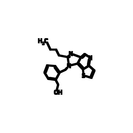 CCCCc1nc2cnc3ccsc3c2n1Cc1ccccc1CO